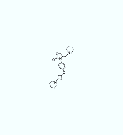 O=C1OC[C@@H](CN2CCCCC2)N1c1ccc(O[C@H]2C[C@H](N3CCCCC3)C2)cc1